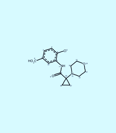 O=C(O)c1ccc(Cl)c(NC(=O)C2(N3CCOCC3)CC2)c1